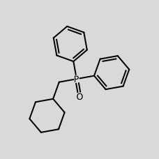 O=P(CC1CCCCC1)(c1ccccc1)c1ccccc1